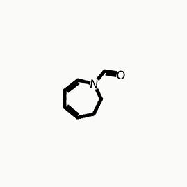 O=CN1C=CC=CCC1